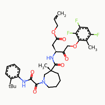 C=CCOC(=O)C[C@H](NC(=O)[C@]1(C)CCCCN(C(=O)C(=O)Nc2ccccc2C(C)(C)C)C1)C(=O)COc1c(C)c(F)cc(F)c1F